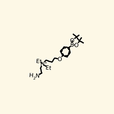 CC[N+](CC)(CCN)CCCOc1ccc(B2OC(C)(C)C(C)(C)O2)cc1